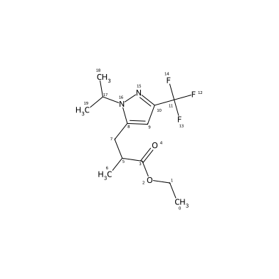 CCOC(=O)C(C)Cc1cc(C(F)(F)F)nn1C(C)C